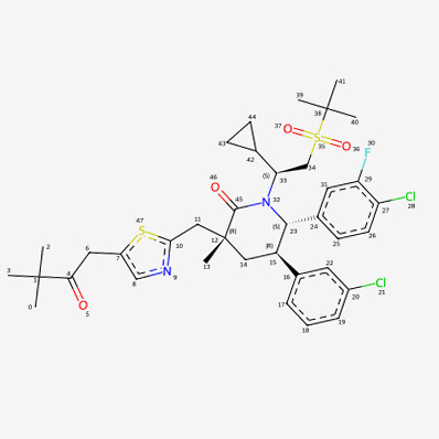 CC(C)(C)C(=O)Cc1cnc(C[C@@]2(C)C[C@H](c3cccc(Cl)c3)[C@@H](c3ccc(Cl)c(F)c3)N([C@H](CS(=O)(=O)C(C)(C)C)C3CC3)C2=O)s1